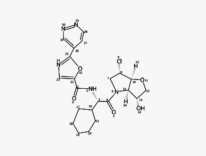 O=C(N[C@H](C(=O)N1C[C@H](Cl)[C@H]2OC[C@H](O)[C@H]21)C1CCCCC1)c1cnc(-c2ccnnc2)o1